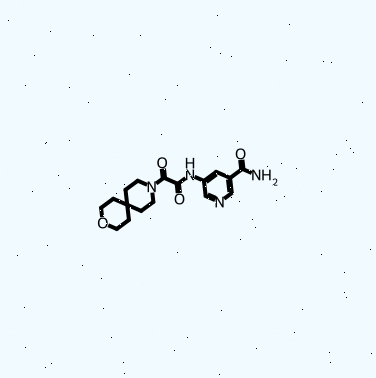 NC(=O)c1cncc(NC(=O)C(=O)N2CCC3(CCOCC3)CC2)c1